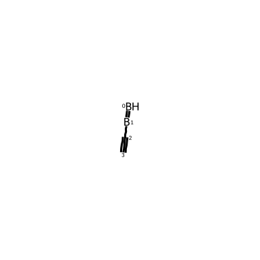 B=BC#C